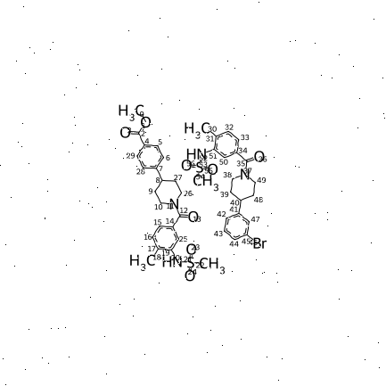 COC(=O)c1ccc(C2CCN(C(=O)c3ccc(C)c(NS(C)(=O)=O)c3)CC2)cc1.Cc1ccc(C(=O)N2CCC(c3cccc(Br)c3)CC2)cc1NS(C)(=O)=O